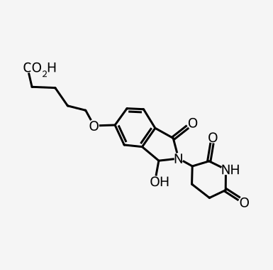 O=C(O)CCCCOc1ccc2c(c1)C(O)N(C1CCC(=O)NC1=O)C2=O